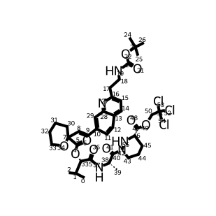 CC(C)[C@H](OC(=O)C1(C=Cc2ccc3ccc(CCNC(=O)OC(C)(C)C)nc3c2)CCCCO1)C(=O)N[C@@H](C)C(=O)N1CCC[C@@H](C(=O)OCC(Cl)(Cl)Cl)N1